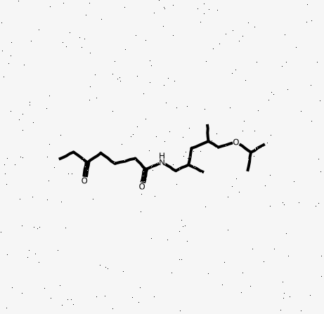 CCC(=O)CCCC(=O)NCC(C)CC(C)COC(C)C